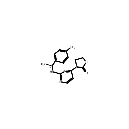 C[C@H](Nc1nccc(N2CCOC2=O)n1)c1ccc(C(F)(F)F)cc1